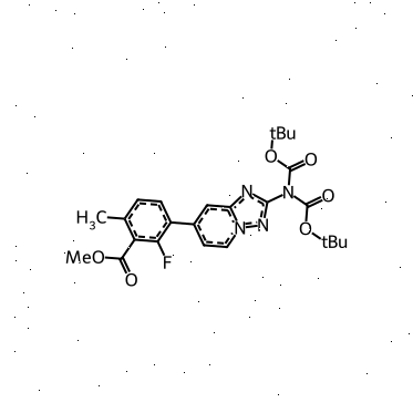 COC(=O)c1c(C)ccc(-c2ccn3nc(N(C(=O)OC(C)(C)C)C(=O)OC(C)(C)C)nc3c2)c1F